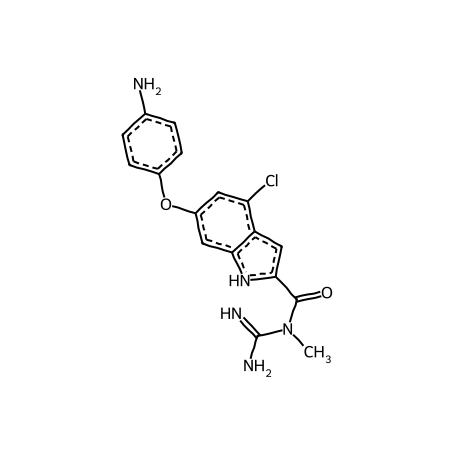 CN(C(=N)N)C(=O)c1cc2c(Cl)cc(Oc3ccc(N)cc3)cc2[nH]1